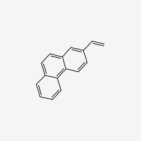 C=Cc1[c]c2ccc3ccccc3c2cc1